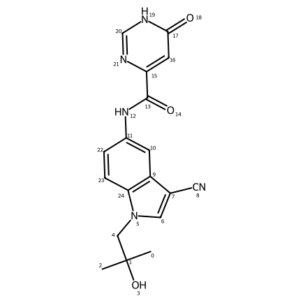 CC(C)(O)Cn1cc(C#N)c2cc(NC(=O)c3cc(=O)[nH]cn3)ccc21